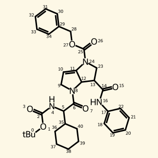 CC(C)(C)OC(=O)NC(C(=O)N1CC=C2C1C(C(=O)Nc1ccccc1)CN2C(=O)OCc1ccccc1)C1CCCCC1